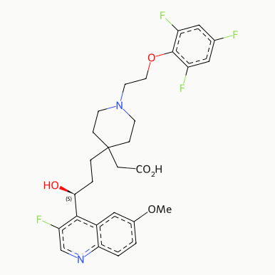 COc1ccc2ncc(F)c([C@@H](O)CCC3(CC(=O)O)CCN(CCOc4c(F)cc(F)cc4F)CC3)c2c1